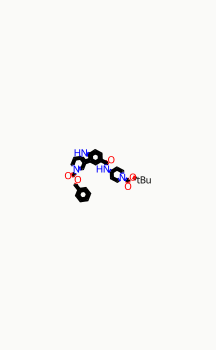 CC(C)(C)OC(=O)N1CCC(NC(=O)c2ccc3[nH]c4c(c3c2)CN(C(=O)OCc2ccccc2)CC4)CC1